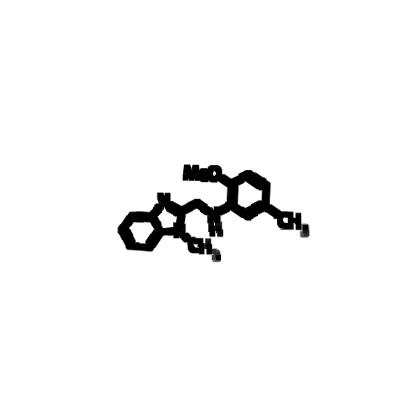 COc1ccc(C)cc1NCc1nc2ccccc2n1C